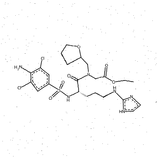 CCOC(=O)CN(CC1CCCO1)C(=O)[C@H](CCCNc1ncc[nH]1)NS(=O)(=O)c1cc(Cl)c(N)c(Cl)c1